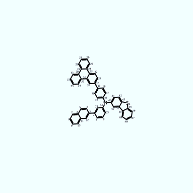 c1cc(-c2ccc3ccccc3c2)cc(N(c2ccc(-c3ccc4c5ccccc5c5ccccc5c4c3)cc2)c2ccc3sc4ccccc4c3c2)c1